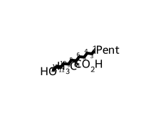 CC(=O)O.CCCC(C)CCCCCCCCC=CO